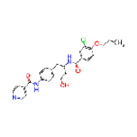 CCCOc1ccc(C(=O)NC(CCO)Cc2ccc(NC(=O)c3ccncc3)cc2)cc1Cl